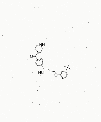 CC(C)(C)c1cccc(OCCCCc2ccc(C(=O)N3CCNCC3)cc2)c1.Cl